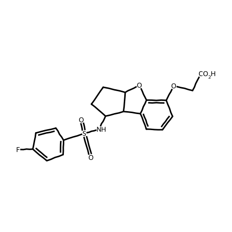 O=C(O)COc1cccc2c1OC1CCC(NS(=O)(=O)c3ccc(F)cc3)C21